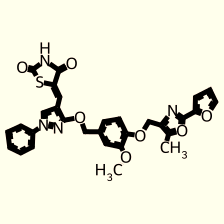 COc1cc(COc2nn(-c3ccccc3)cc2C=C2SC(=O)NC2=O)ccc1OCc1nc(-c2ccco2)oc1C